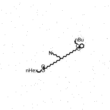 CCCC/C=C\COC1(OCCCCCCCCCCC(CCCCCCCCCC(=O)OC/C=C\CCCCCC)CCCCCN(C)C)CCCCC1